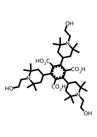 CC1(C)CC(c2c(C(=O)O)c(C3CC(C)(C)N(CCO)C(C)(C)C3)c(C(=O)O)c(C3CC(C)(C)N(CCO)C(C)(C)C3)c2C(=O)O)CC(C)(C)N1CCO